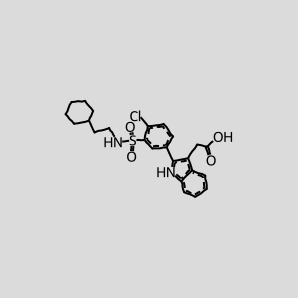 O=C(O)Cc1c(-c2ccc(Cl)c(S(=O)(=O)NCCC3CCCCC3)c2)[nH]c2ccccc12